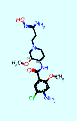 COc1cc(N)c(Cl)cc1C(=O)N[C@@H]1CCN(CCC(N)=NO)C[C@@H]1OC